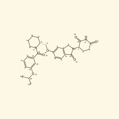 O=C1CCC(N2Cc3cc(OC[C@H]4CCCCN4C(=O)c4cccc(OC(F)F)c4)ccc3C2=O)C(=O)N1